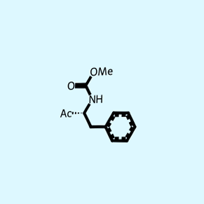 [CH2]C(=O)[C@@H](Cc1ccccc1)NC(=O)OC